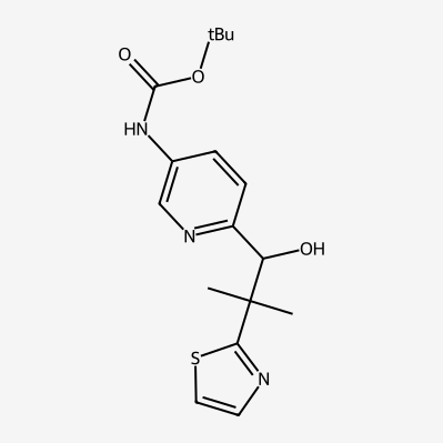 CC(C)(C)OC(=O)Nc1ccc(C(O)C(C)(C)c2nccs2)nc1